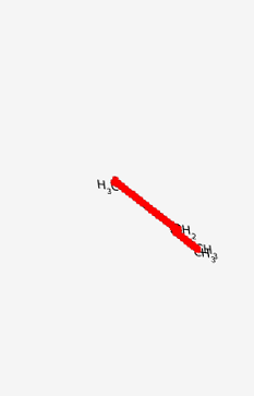 BCC1C(C2CC3C2C2C3C3C2C2C3C3C2C2C3C3C4C5C6C7C8C(C)C(C)C8C7C6C5C4C23)C2C1C1C2C2C1C1C2C2C1C1C2C2C1C1C2C2C1C1C2C2C1C1C2C2C1C1C2C2C1C1C3C4C5C6C7C8C9C%10C%11C%12C%13C%14C%15C%16C%17C%18C%19CC(CC(C)C%18C%17C%16C%15C%14C%13C%12C%11C%10C9C8C7C6C5C4C3C21)C%19